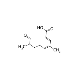 CC(C=CC(=O)O)=CCCC(C)C=O